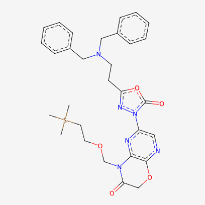 CS(C)(C)CCOCN1C(=O)COc2ncc(-n3nc(CCN(Cc4ccccc4)Cc4ccccc4)oc3=O)nc21